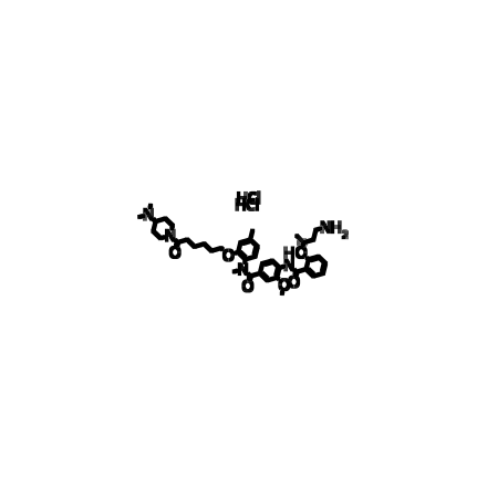 COc1cc(C(=O)N(C)c2ccc(C)cc2OCCCCCC(=O)N2CCC(N(C)C)CC2)ccc1NC(=O)c1ccccc1O[C@@H](C)CCN.Cl.Cl